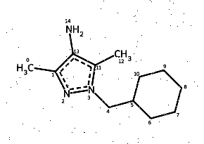 Cc1nn(CC2CCCCC2)c(C)c1N